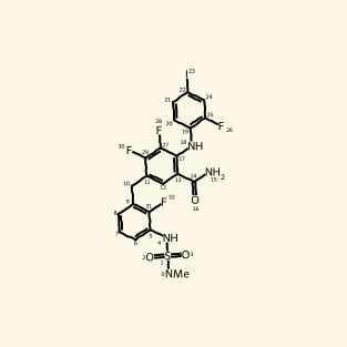 CNS(=O)(=O)Nc1cccc(Cc2cc(C(N)=O)c(Nc3ccc(I)cc3F)c(F)c2F)c1F